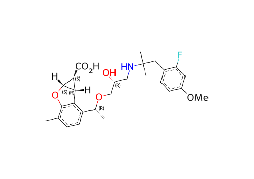 COc1ccc(CC(C)(C)NC[C@@H](O)CO[C@H](C)c2ccc(C)c3c2[C@@H]2[C@H](O3)[C@H]2C(=O)O)c(F)c1